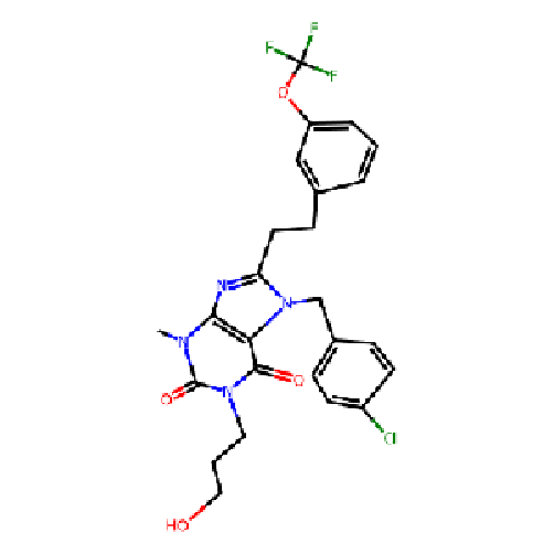 Cn1c(=O)n(CCCO)c(=O)c2c1nc(CCc1cccc(OC(F)(F)F)c1)n2Cc1ccc(Cl)cc1